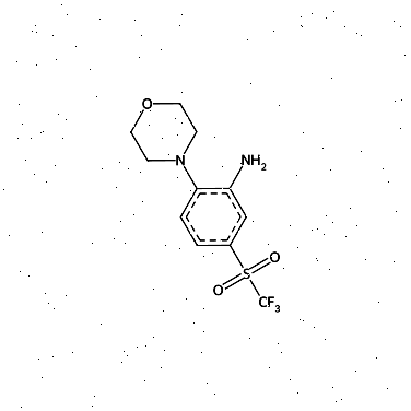 Nc1cc(S(=O)(=O)C(F)(F)F)ccc1N1CCOCC1